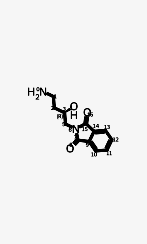 NCC[C@@H](O)CN1C(=O)c2ccccc2C1=O